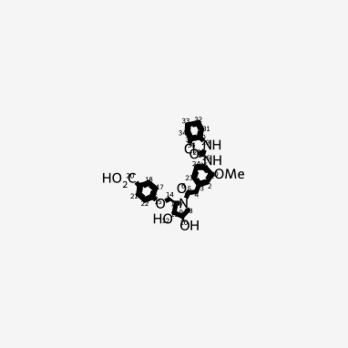 COc1cc(CC(=O)N2C[C@@H](O)[C@@H](O)[C@H]2COc2ccc(C(=O)O)cc2)ccc1NC(=O)Nc1ccccc1Cl